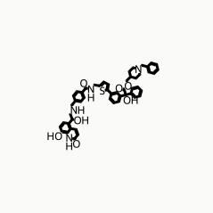 O=C(NCc1ccc(-c2cccc(C(O)(C(=O)OCC3CCN(Cc4ccccc4)CC3)c3ccccc3)c2)s1)c1ccc(CNCC(O)c2ccc(O)c3[nH]c(=O)ccc23)cc1